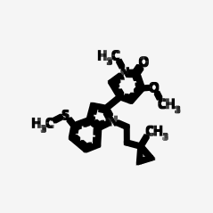 COc1cc(-c2cc3c(SC)cccc3n2CCC2(C)CC2)cn(C)c1=O